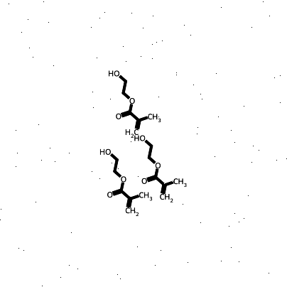 C=C(C)C(=O)OCCO.C=C(C)C(=O)OCCO.C=C(C)C(=O)OCCO